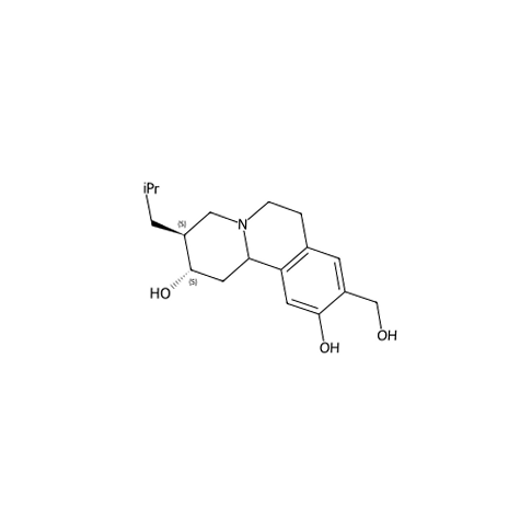 CC(C)C[C@H]1CN2CCc3cc(CO)c(O)cc3C2C[C@@H]1O